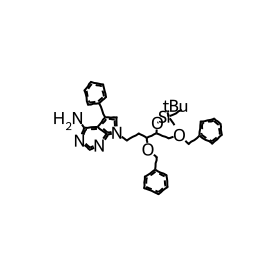 CC(C)(C)[Si](C)(C)OC(COCc1ccccc1)C(CCn1cc(-c2ccccc2)c2c(N)ncnc21)OCc1ccccc1